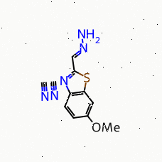 C#N.C#N.COc1ccc2nc(C=NN)sc2c1